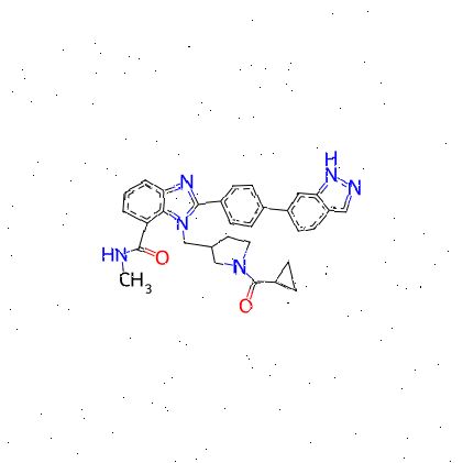 CNC(=O)c1cccc2nc(-c3ccc(-c4ccc5cn[nH]c5c4)cc3)n(CC3CCN(C(=O)C4CC4)C3)c12